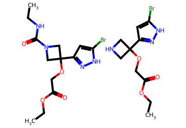 CCNC(=O)N1CC(OCC(=O)OCC)(c2cc(Br)[nH]n2)C1.CCOC(=O)COC1(c2cc(Br)[nH]n2)CNC1